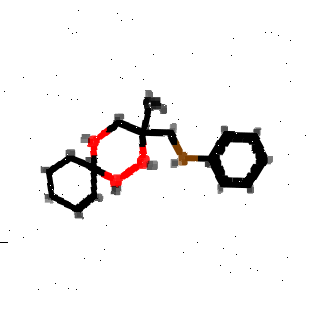 CC1(CSc2ccccc2)COC2(CCCCC2)OO1